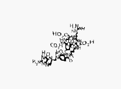 C#CC[C@H](CC(=O)[C@H](CC(=O)O)NC(=O)[C@H](CC(=O)O)NC(=O)[C@H](CCCNC(=N)N)NC(=O)[C@H](CC(=O)O)NC(=O)CC[C@@H](C)NC(=O)c1ccc(NCc2cnc3nc(N)[nH]c(=O)c3n2)cc1)C(=O)O